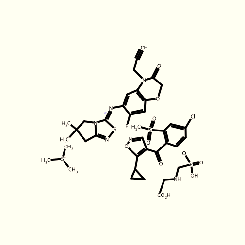 C#CCN1C(=O)COc2cc(F)c(/N=c3\snc4n3CC(C)(C)C4)cc21.CS(=O)(=O)c1cc(Cl)ccc1C(=O)c1cnoc1C1CC1.C[S+](C)C.O=C(O)CNCP(=O)([O-])O